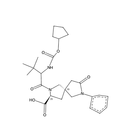 CC(C)(C)C(NC(=O)OC1CCCC1)C(=O)N1C[C@@]2(CC(=O)N(c3ccccc3)C2)C[C@H]1C(=O)O